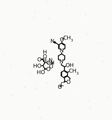 COC1=CCN(C2CCN(CC(O)c3ccc4c(c3C)COC4=C=O)CC2)C=C1C#N.NC=O.O=C(O)C(O)C(O)C(=O)O